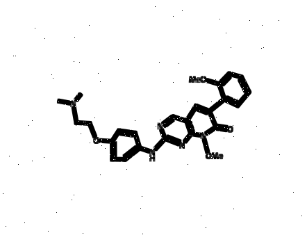 COc1ccccc1-c1cc2cnc(Nc3ccc(OCCN(C)C)cc3)nc2n(OC)c1=O